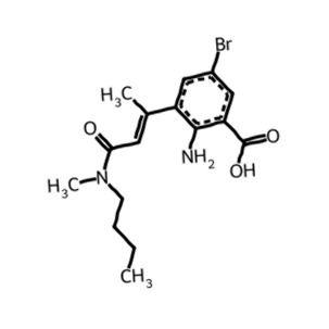 CCCCN(C)C(=O)C=C(C)c1cc(Br)cc(C(=O)O)c1N